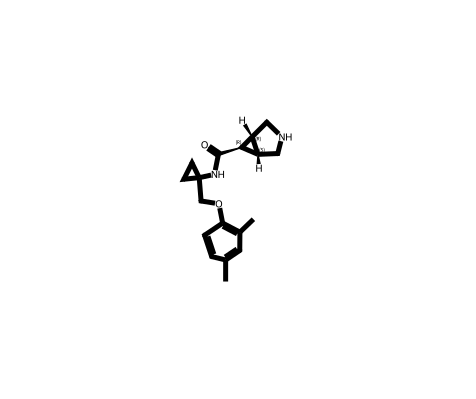 Cc1ccc(OCC2(NC(=O)[C@H]3[C@@H]4CNC[C@@H]43)CC2)c(C)c1